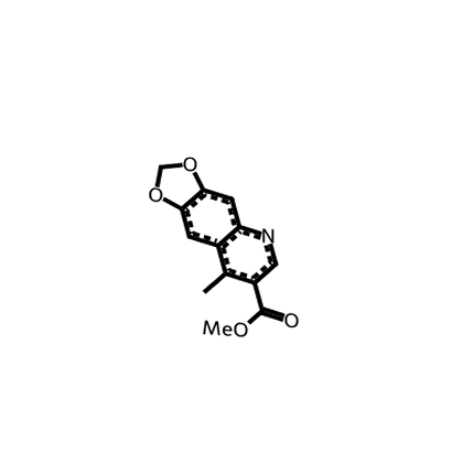 COC(=O)c1cnc2cc3c(cc2c1C)OCO3